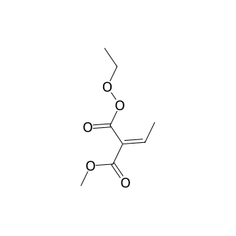 CC=C(C(=O)OC)C(=O)OOCC